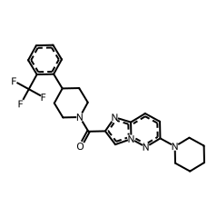 O=C(c1cn2nc(N3CCCCC3)ccc2n1)N1CCC(c2ccccc2C(F)(F)F)CC1